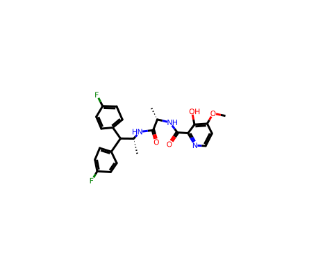 COc1ccnc(C(=O)N[C@@H](C)C(=O)N[C@H](C)C(c2ccc(F)cc2)c2ccc(F)cc2)c1O